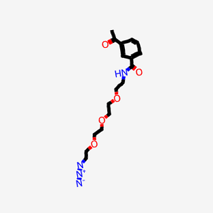 CC(=O)c1cccc(C(=O)NCCOCCOCCOCCN=[N+]=[N-])c1